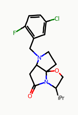 CC(C)C1COC23CCN(Cc4cc(Cl)ccc4F)C2CC(=O)N13